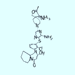 C[C@@H]1OCC2(CCN(c3cnc(Sc4cccc(N5C(O)=CC(=O)N6CCCCC65)c4Cl)c(N)n3)CC2)[C@@H]1N